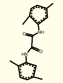 Cc1ccc(C)c(NC(=O)C(=O)Nc2cc(C)ccc2C)c1